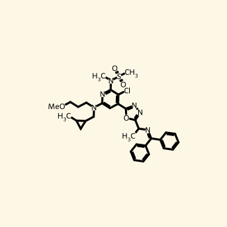 COCCCN(CC1CC1C)c1cc(-c2nnc(C(C)N=C(c3ccccc3)c3ccccc3)o2)c(Cl)c(N(C)S(C)(=O)=O)n1